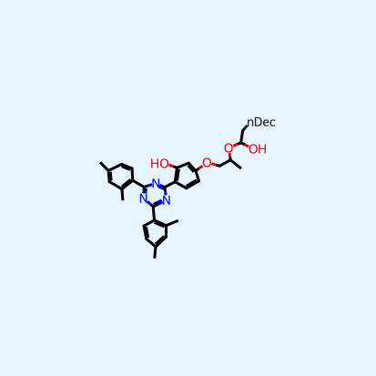 CCCCCCCCCCCC(O)OC(C)COc1ccc(-c2nc(-c3ccc(C)cc3C)nc(-c3ccc(C)cc3C)n2)c(O)c1